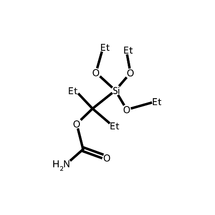 CCO[Si](OCC)(OCC)C(CC)(CC)OC(N)=O